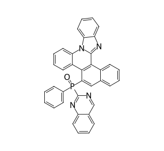 O=P(c1ccccc1)(c1ncc2ccccc2n1)c1cc2ccccc2c2c1c1ccccc1n1c3ccccc3nc21